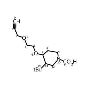 C#CCOCCOC1CCN(C(=O)O)CC1C(C)(C)C